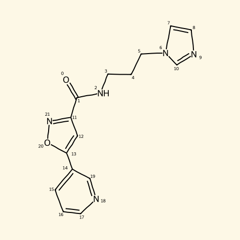 O=C(NCCCn1ccnc1)c1cc(-c2cccnc2)on1